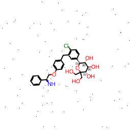 N=C(COc1ccc(Cc2cc([C@@H]3OC(CO)(CO)[C@@H](O)[C@H](O)[C@H]3O)ccc2Cl)cc1)c1ccccc1